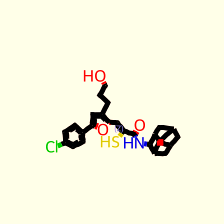 O=C(NC1C2CC3CC(C2)CC1C3)/C(S)=C/c1oc(-c2ccc(Cl)cc2)cc1CCCO